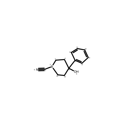 N#CB1CCC(O)(c2ccccc2)CC1